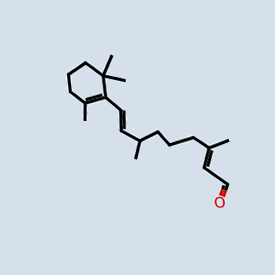 CC(=CC=O)CCCC(C)C=CC1=C(C)CCCC1(C)C